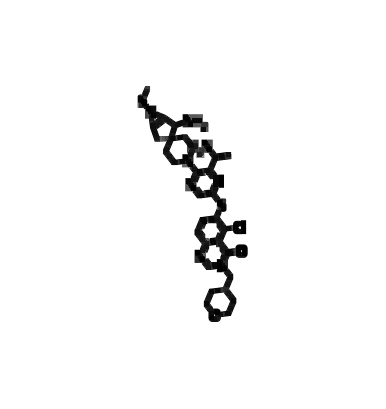 C=C(N)c1nc(Sc2ccc3ncn(CC4CCOCC4)c(=O)c3c2Cl)cnc1N1CCC2(CC1)CC1=C(C2N)N1SC